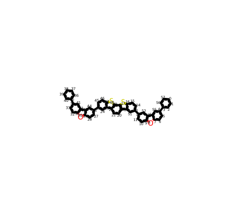 c1ccc(-c2ccc3oc4ccc(-c5ccc6sc7c(ccc8c9cc(-c%10ccc%11oc%12ccc(-c%13ccccc%13)cc%12c%11c%10)ccc9sc87)c6c5)cc4c3c2)cc1